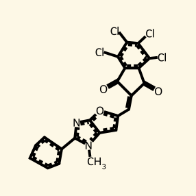 Cn1c(-c2ccccc2)nc2oc(C=C3C(=O)c4c(Cl)c(Cl)c(Cl)c(Cl)c4C3=O)cc21